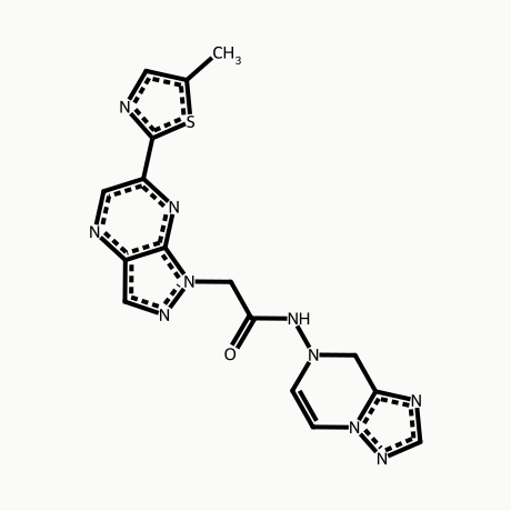 Cc1cnc(-c2cnc3cnn(CC(=O)NN4C=Cn5ncnc5C4)c3n2)s1